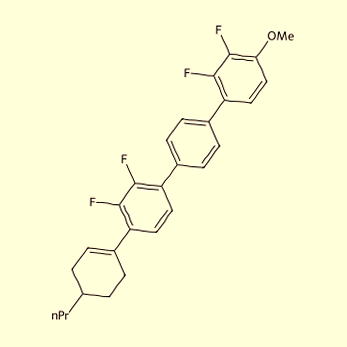 CCCC1CC=C(c2ccc(-c3ccc(-c4ccc(OC)c(F)c4F)cc3)c(F)c2F)CC1